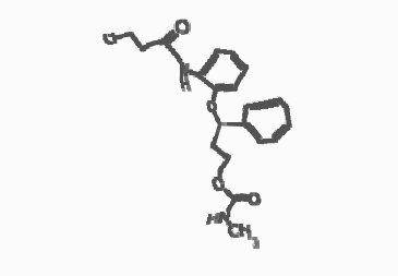 CNC(=O)OCCC(Oc1ccccc1NC(=O)CCCl)c1ccccc1